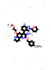 COc1ccc(COc2nc3c(cc(OCCOC(F)(F)F)c4ncccc43)c(-c3ccc(F)c4nn(C5CCCCO5)cc34)c2N)cc1